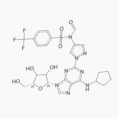 O=CN(c1cnn(-c2nc(NC3CCCC3)c3ncn([C@@H]4O[C@H](CO)C(O)C4O)c3n2)c1)S(=O)(=O)c1ccc(C(F)(F)F)cc1